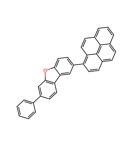 c1ccc(-c2ccc3c(c2)oc2ccc(-c4ccc5ccc6cccc7ccc4c5c67)cc23)cc1